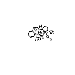 CC[C@H]1CC[C@H]2[C@@H]3C=CC4=CCC=C[C@]4(C)[C@@]3(Br)C(O)C[C@]12C